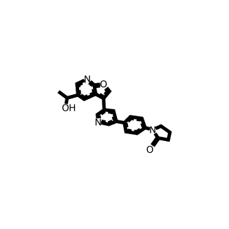 CC(O)c1cnc2occ(-c3cncc(-c4ccc(N5CCCC5=O)cc4)c3)c2c1